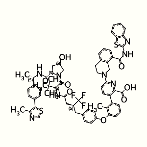 Cc1ncsc1-c1ccc([C@H](C)NC(=O)[C@@H]2C[C@@H](O)CN2C(=O)[C@@H](NC(=O)C[C@H](Cc2ccc(Oc3cccc(-c4ccc(N5CCc6cccc(C(=O)Nc7nc8ccccc8s7)c6C5)nc4C(=O)O)c3C)cc2)C(F)(F)F)C(C)(C)C)cc1